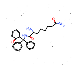 NC(=O)CCCCCC(N)C(=O)NC(c1ccccc1)(c1ccccc1)C1C=CC=CC1=O